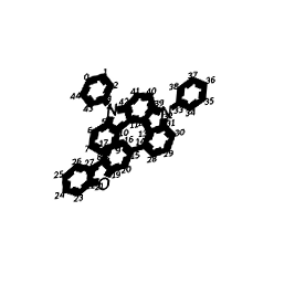 c1ccc(-n2c3ccccc3c3c4c5c(-c6ccc7c(c6)oc6ccccc67)cccc5n(-c5ccccc5)c4ccc32)cc1